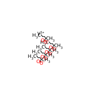 CCCCC(C)C(=O)[O-].CCCCC(C)C(=O)[O-].CCCCC(C)C(=O)[O-].CCCCC(C)C(=O)[O-].CCCCC(C)C(=O)[O-].[V+5]